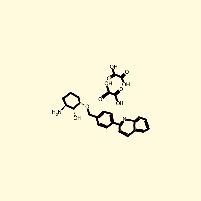 N[C@H]1CCC[C@H](OCc2ccc(-c3ccc4ccccc4n3)cc2)[C@@H]1O.O=C(O)C(=O)O.O=C(O)C(=O)O